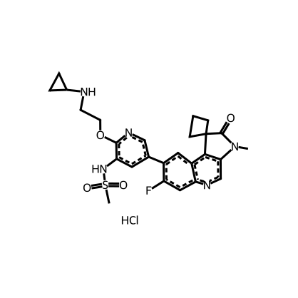 CN1C(=O)C2(CCC2)c2c1cnc1cc(F)c(-c3cnc(OCCNC4CC4)c(NS(C)(=O)=O)c3)cc21.Cl